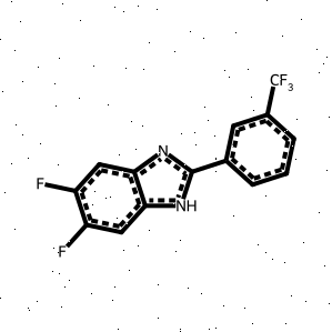 Fc1cc2nc(-c3cccc(C(F)(F)F)c3)[nH]c2cc1F